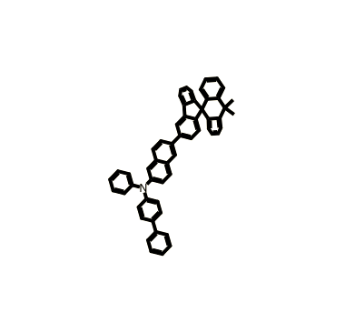 CC1(C)c2ccccc2C2(c3ccccc3-c3cc(-c4ccc5cc(N(c6ccccc6)c6ccc(-c7ccccc7)cc6)ccc5c4)ccc32)c2ccccc21